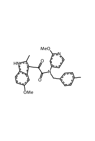 COc1ccc2[nH]c(C)c(C(=O)C(=O)N(Cc3ccc(C)cc3)c3ccnc(OC)c3)c2c1